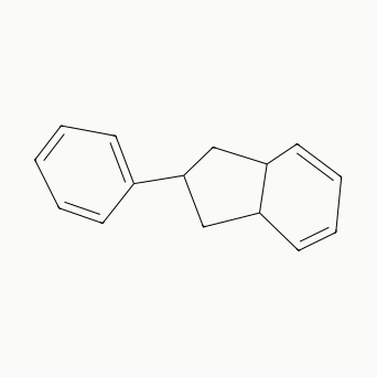 C1=CC2CC(c3ccccc3)CC2C=C1